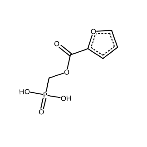 O=C(OCP(=O)(O)O)c1ccco1